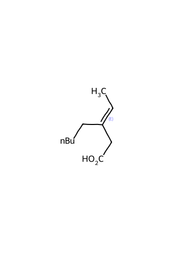 C/C=C(\CCCCC)CC(=O)O